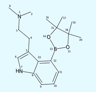 CN(C)CCc1c[nH]c2cccc(B3OC(C)(C)C(C)(C)O3)c12